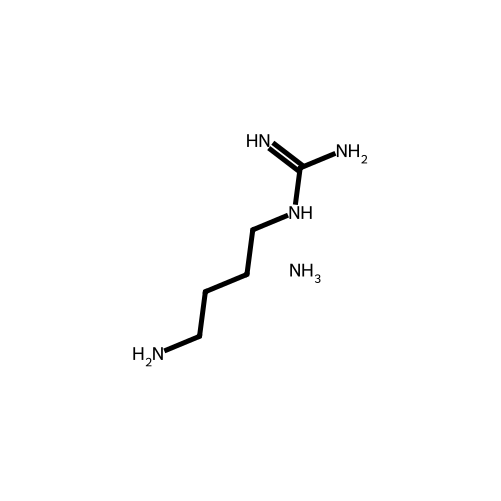 N.N=C(N)NCCCCN